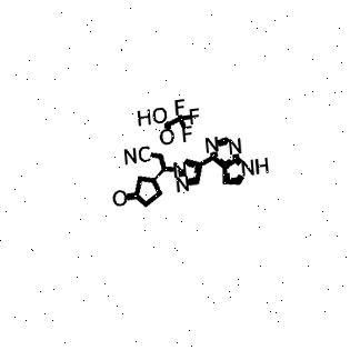 N#CCC([C@H]1CCC(=O)C1)n1cc(-c2ncnc3[nH]ccc23)cn1.O=C(O)C(F)(F)F